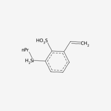 C=Cc1cccc([SiH2]CCC)c1S(=O)(=O)O